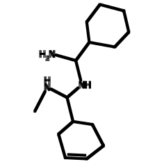 CNC(NC(N)C1CCCCC1)C1CC=CCC1